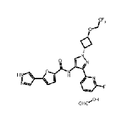 O=C(Nc1cn([C@H]2C[C@H](OCC(F)(F)F)C2)nc1-c1cccc(F)n1)c1ccc(-c2cn[nH]c2)o1.O=CO